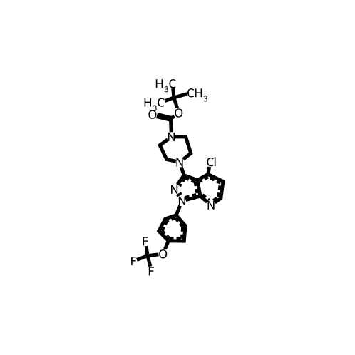 CC(C)(C)OC(=O)N1CCN(c2nn(-c3ccc(OC(F)(F)F)cc3)c3nccc(Cl)c23)CC1